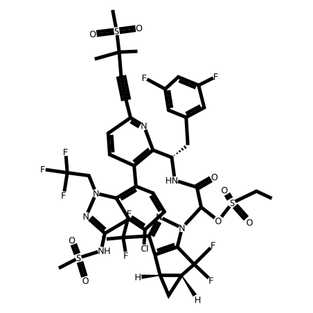 CCS(=O)(=O)OC(C(=O)N[C@@H](Cc1cc(F)cc(F)c1)c1nc(C#CC(C)(C)S(C)(=O)=O)ccc1-c1ccc(Cl)c2c(NS(C)(=O)=O)nn(CC(F)(F)F)c12)n1nc(C(F)(F)F)c2c1C(F)(F)[C@@H]1C[C@H]21